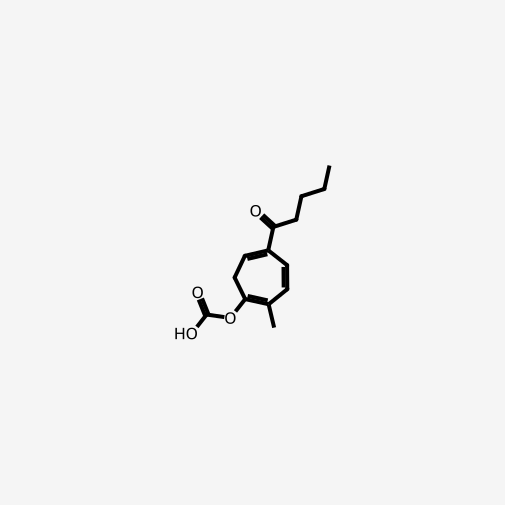 CCCCC(=O)C1=CCC(OC(=O)O)=C(C)C=C1